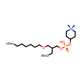 CCCCCCCCCCCCCCCCOCC(COC)COP(=O)(O)OC1CC[N+](C)(C)CC1